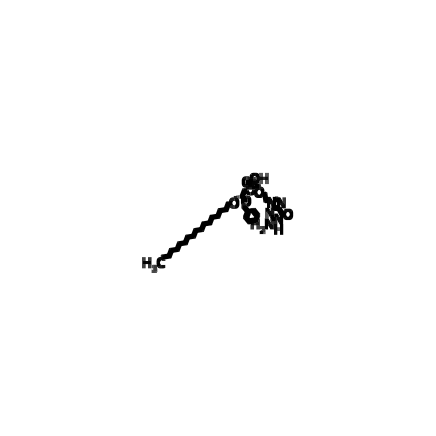 CCCCCCCCCCCCCCCCCCOC[C@H](COP(=O)(O)COCCn1cnc2c(=O)[nH]c(N)nc21)OCc1ccccc1